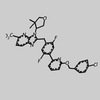 CC1(C)COCC1n1c(Cc2cc(F)c(-c3cccc(OCc4ccc(Cl)cc4)n3)cc2F)nc2ccc(C(=O)O)nc21